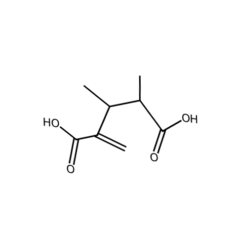 C=C(C(=O)O)C(C)C(C)C(=O)O